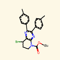 Cc1ccc(-c2nc3c(nc2-c2ccc(C)cc2)N(C(=O)OC(C)(C)C)CCC3Br)cc1